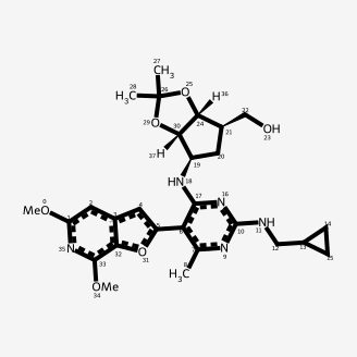 COc1cc2cc(-c3c(C)nc(NCC4CC4)nc3N[C@@H]3C[C@H](CO)[C@H]4OC(C)(C)O[C@H]43)oc2c(OC)n1